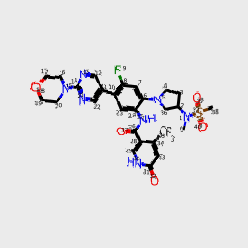 CN(C1CCN(c2cc(F)c(-c3cnc(N4CCOCC4)nc3)cc2NC(=O)c2c[nH]c(=O)cc2C(F)(F)F)C1)S(C)(=O)=O